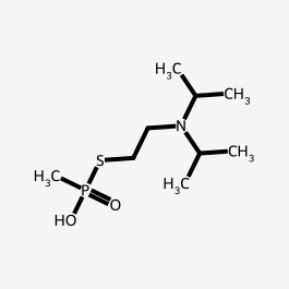 CC(C)N(CCSP(C)(=O)O)C(C)C